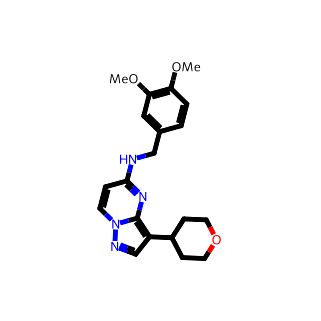 COc1ccc(CNc2ccn3ncc(C4CCOCC4)c3n2)cc1OC